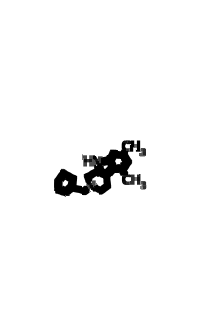 Cc1cc(C)c2c3c([nH]c2c1)CN(Cc1ccccc1)CC3